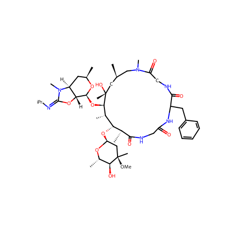 CO[C@]1(C)C[C@H](O[C@@H]2[C@H](C)[C@@H](O[C@@H]3O[C@H](C)C[C@H]4[C@H]3O/C(=N/C(C)C)N4C)[C@](C)(O)C[C@@H](C)CN(C)C(=O)CNC(=O)C(Cc3ccccc3)NC(=O)CNC(=O)[C@@H]2C)O[C@@H](C)[C@@H]1O